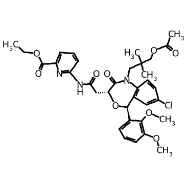 CCOC(=O)c1cccc(NC(=O)C[C@H]2O[C@H](c3cccc(OC)c3OC)c3cc(Cl)ccc3N(CC(C)(C)COC(C)=O)C2=O)n1